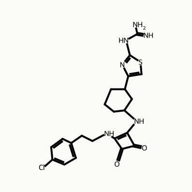 N=C(N)Nc1nc(C2CCCC(Nc3c(NCCc4ccc(Cl)cc4)c(=O)c3=O)C2)cs1